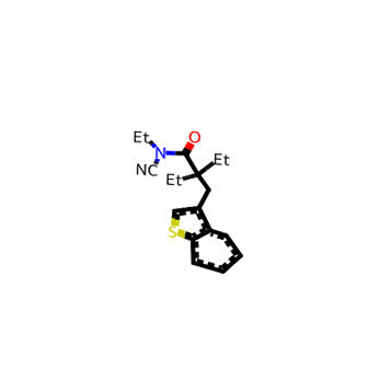 CCN(C#N)C(=O)C(CC)(CC)Cc1csc2ccccc12